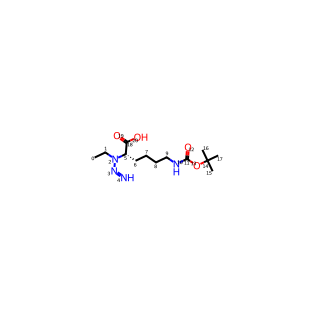 CCN(N=N)[C@@H](CCCCNC(=O)OC(C)(C)C)C(=O)O